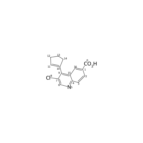 O=C(O)c1ccc2ncc(Cl)c(C3=CCCC3)c2c1